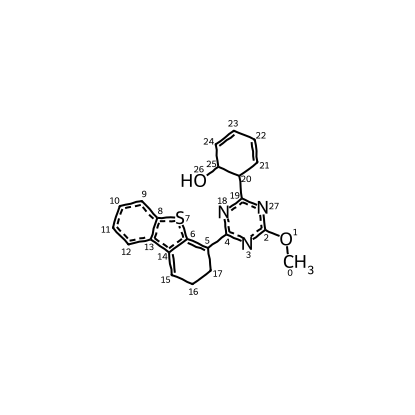 COc1nc(C2=c3sc4ccccc4c3=CCC2)nc(C2C=CC=CC2O)n1